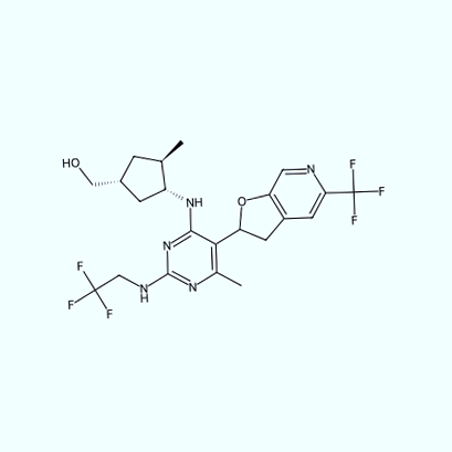 Cc1nc(NCC(F)(F)F)nc(N[C@@H]2C[C@H](CO)C[C@H]2C)c1C1Cc2cc(C(F)(F)F)ncc2O1